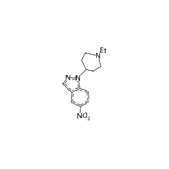 CCN1CCC(n2ncc3cc([N+](=O)[O-])ccc32)CC1